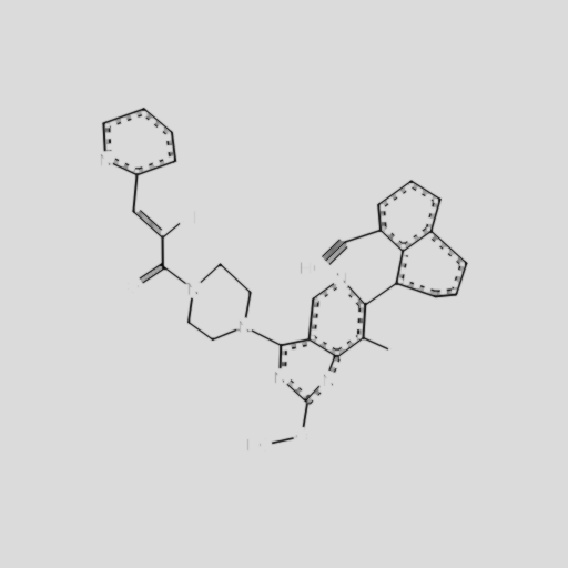 C#Cc1cccc2cccc(-c3ncc4c(N5CCN(C(=O)/C(Cl)=C/c6ccccn6)CC5)nc(OC)nc4c3F)c12